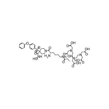 N[C@@H](CCCCNC(=O)CC[C@@H](C(=O)O)N(CCN(CC(=O)O)CC(=O)O)CCN(CC(=O)O)CC(=O)O)C(=O)N1CCC(C(=O)NO)(S(=O)(=O)c2ccc(Oc3ccccc3)cc2)CC1